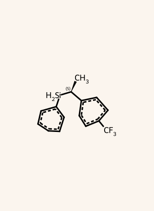 C[C@H]([SiH2]c1ccccc1)c1ccc(C(F)(F)F)cc1